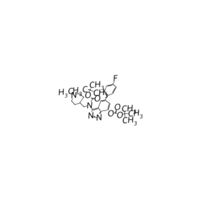 CN1CCC(CN(C(=O)OC(C)(C)C)c2ncnc3c(OC(=O)OC(C)(C)C)cc(-c4ccc(F)cc4)cc23)CC1